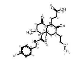 COCCN1C[C@H]2N(C(=O)CN(C)N2C(=O)NCc2ccc(F)cc2)[C@@H](CCC(=O)O)C1=O